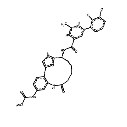 COC(=O)Nc1ccc2c(c1)NC(=O)CCCC[C@H](NC(=O)c1cn(-c3cccc(Cl)c3F)[pH]n(C)[nH]1)c1nc-2c[nH]1